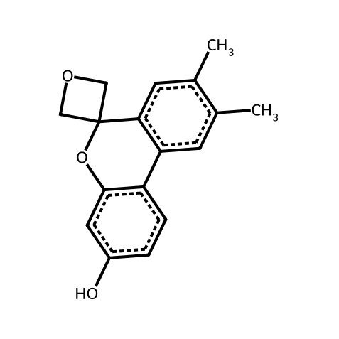 Cc1cc2c(cc1C)C1(COC1)Oc1cc(O)ccc1-2